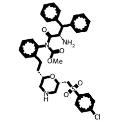 COC(=O)N(C(=O)[C@@H](N)C(c1ccccc1)c1ccccc1)c1ccccc1CC[C@H]1CNC[C@@H](CS(=O)(=O)c2ccc(Cl)cc2)O1